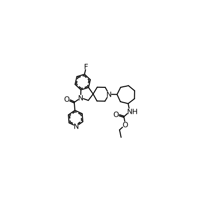 CCOC(=O)NC1CCCCC(N2CCC3(CC2)CN(C(=O)c2ccncc2)c2ccc(F)cc23)C1